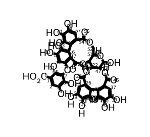 O=C(O)c1cc(O)c(O)c(Oc2c(O)c(O)c(O)c3c2C(=O)O[C@H]2[C@@H]4OC(=O)c5cc(O)c(O)c(O)c5-c5c(cc(O)c(O)c5O)C(=O)O[C@H]4C(O)O[C@@H]2COC(=O)c2cc(O)c(O)c(O)c2-3)c1